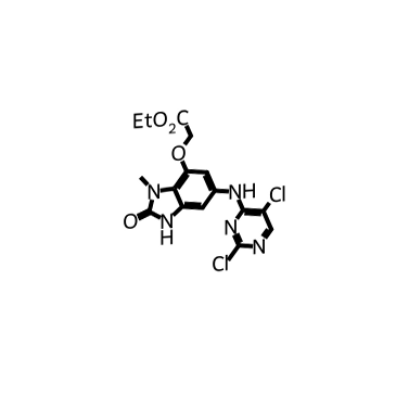 CCOC(=O)COc1cc(Nc2nc(Cl)ncc2Cl)cc2[nH]c(=O)n(C)c12